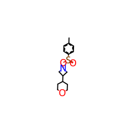 Cc1ccc(S(=O)ON2CC(C3CCOCC3)C2)cc1